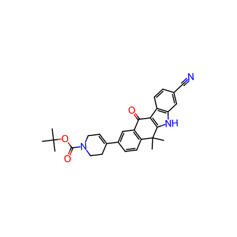 CC(C)(C)OC(=O)N1CC=C(c2ccc3c(c2)C(=O)c2c([nH]c4cc(C#N)ccc24)C3(C)C)CC1